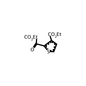 CCOC(=O)C(=O)c1sccc1C(=O)OCC